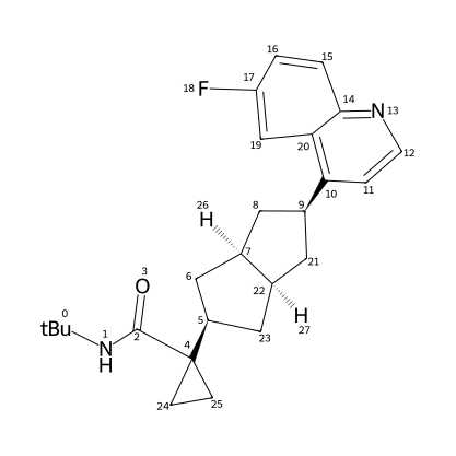 CC(C)(C)NC(=O)C1([C@H]2C[C@H]3C[C@@H](c4ccnc5ccc(F)cc45)C[C@H]3C2)CC1